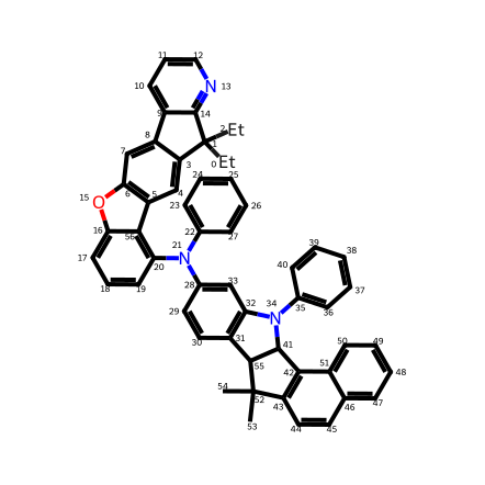 CCC1(CC)c2cc3c(cc2-c2cccnc21)oc1cccc(N(c2ccccc2)c2ccc4c(c2)N(c2ccccc2)C2c5c(ccc6ccccc56)C(C)(C)C42)c13